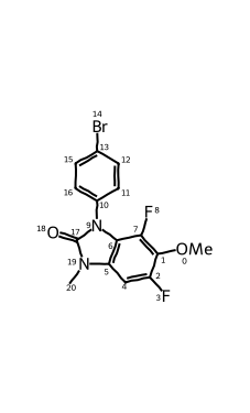 COc1c(F)cc2c(c1F)n(-c1ccc(Br)cc1)c(=O)n2C